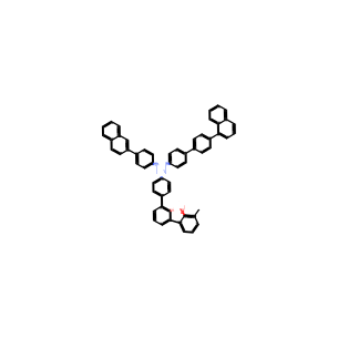 Cc1cccc2c1oc1c(-c3ccc(N(c4ccc(-c5ccc(-c6cccc7ccccc67)cc5)cc4)c4ccc(-c5ccc6ccccc6c5)cc4)cc3)cccc12